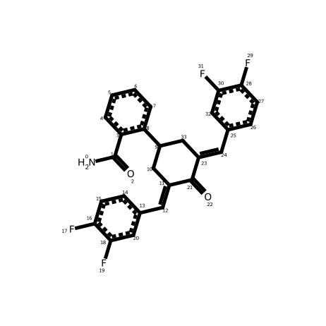 NC(=O)c1ccccc1C1C/C(=C\c2ccc(F)c(F)c2)C(=O)/C(=C/c2ccc(F)c(F)c2)C1